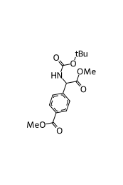 COC(=O)c1ccc(C(NC(=O)OC(C)(C)C)C(=O)OC)cc1